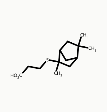 CC1(C)CC2CC1CC2(C)SCCC(=O)O